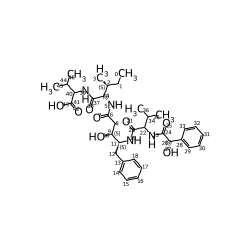 CC[C@H](C)[C@H](NC(=O)C[C@H](O)[C@H](Cc1ccccc1)NC(=O)C(NC(=O)[C@@H](O)c1ccccc1)C(C)C)C(=O)NC(C(=O)O)C(C)C